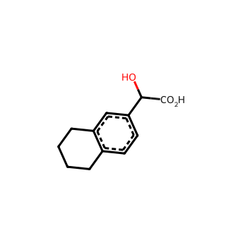 O=C(O)C(O)c1ccc2c(c1)CCCC2